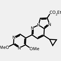 CCOC(=O)c1cn2nc(-c3cnc(OC)nc3OC)cc(C3CC3)c2n1